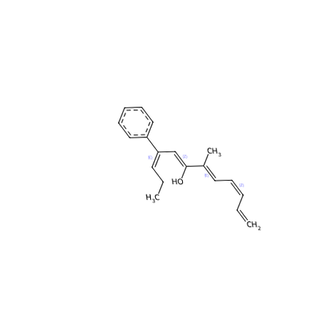 C=C\C=C/C=C(C)/C(O)=C/C(=C\CC)c1ccccc1